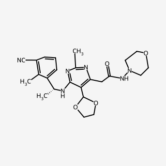 Cc1nc(CC(=O)NN2CCOCC2)c(C2OCCO2)c(N[C@H](C)c2cccc(C#N)c2C)n1